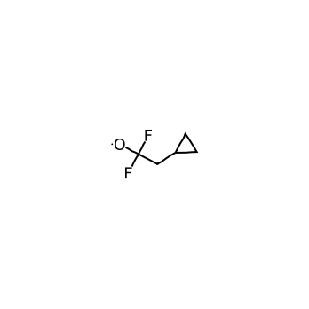 [O]C(F)(F)CC1CC1